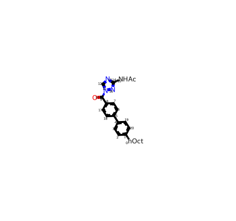 CCCCCCCCc1ccc(-c2ccc(C(=O)n3cnc(NC(C)=O)n3)cc2)cc1